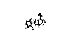 Cc1ccc(C)c(C(=O)CC(C)(C)CC(C)CP=O)c1C